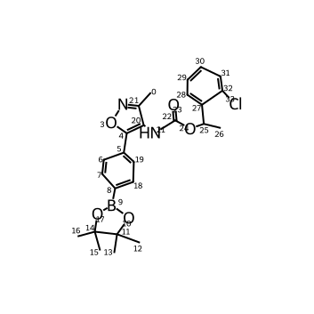 Cc1noc(-c2ccc(B3OC(C)(C)C(C)(C)O3)cc2)c1NC(=O)OC(C)c1ccccc1Cl